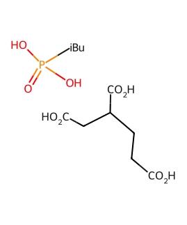 CCC(C)P(=O)(O)O.O=C(O)CCC(CC(=O)O)C(=O)O